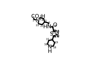 O=C(O)CN1CCC(CNC(=O)c2nnc(C3CCNCC3)s2)CC1